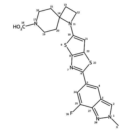 Cn1cc2cc(-c3nc4sc(N5CCC56CCN(C(=O)O)CC6)cc4s3)cc(F)c2n1